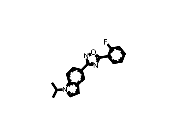 CC(C)n1ccc2cc(-c3noc(-c4ccccc4F)n3)ccc21